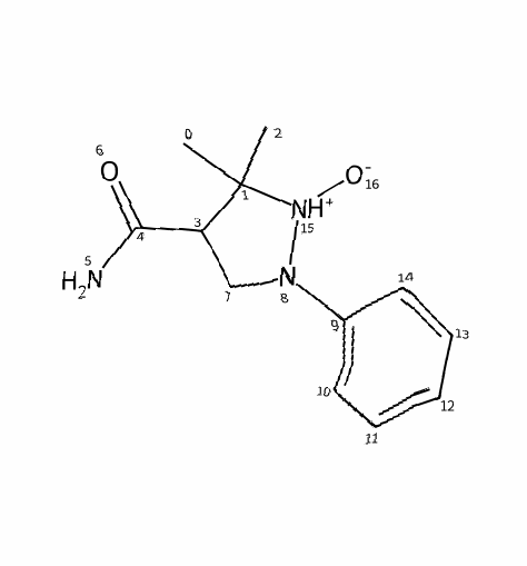 CC1(C)C(C(N)=O)CN(c2ccccc2)[NH+]1[O-]